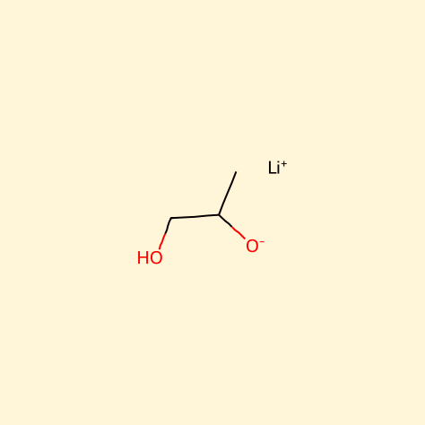 CC([O-])CO.[Li+]